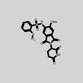 COc1cc2c(cc1NS(=O)(=O)c1ccccc1OC(F)(F)F)C(=O)N(C1CCC(=O)NC1=O)C2=O